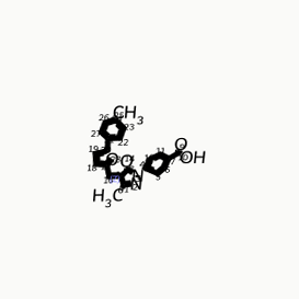 CC1=NN(c2ccc(C(=O)O)cc2)C(=O)/C1=C\c1ccc(-c2ccc(C)cc2)o1